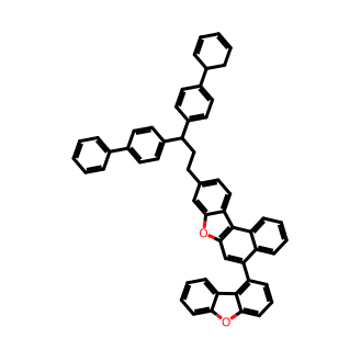 C1=CCC(c2ccc(C(CCc3ccc4c(c3)oc3cc(-c5cccc6oc7ccccc7c56)c5ccccc5c34)c3ccc(-c4ccccc4)cc3)cc2)C=C1